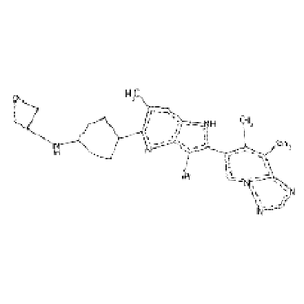 Cc1cc2[nH]c(-c3cn4ncnc4c(C)c3C)c(C(C)C)c2nc1C1CCC(NC2COC2)CC1